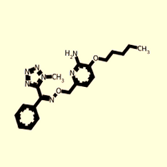 CCCCCOc1ccc(CON=C(c2ccccc2)c2nnnn2C)nc1N